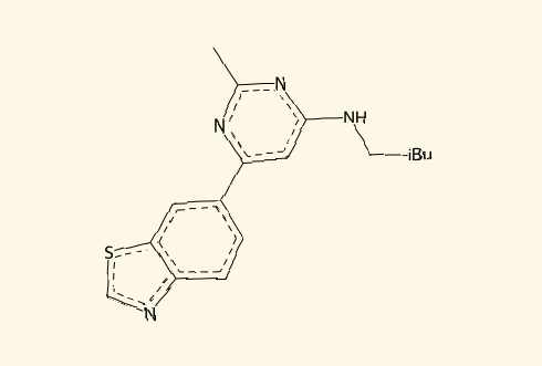 CCC(C)CNc1cc(-c2ccc3ncsc3c2)nc(C)n1